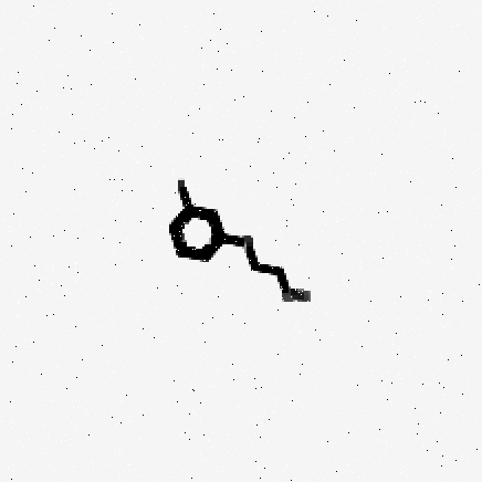 COCCOc1cccc(I)c1